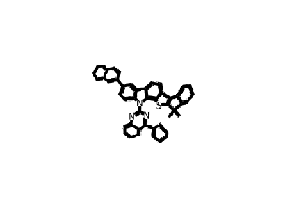 CC1(C)c2ccccc2-c2c1sc1c2ccc2c3cc(-c4ccc5ccccc5c4)ccc3n(-c3nc(-c4ccccc4)c4ccccc4n3)c21